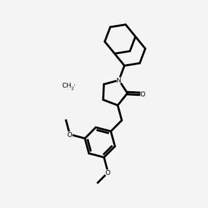 COc1cc(CC2CCN(C3CCC4CCCC3C4)C2=O)cc(OC)c1.[CH2]